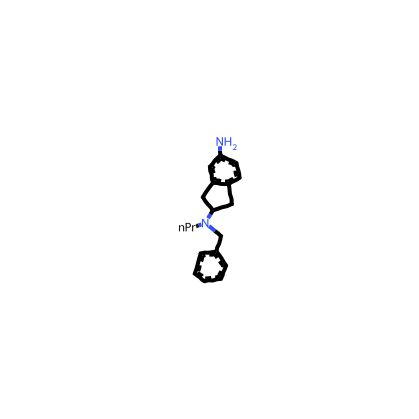 CCCN(Cc1ccccc1)C1Cc2ccc(N)cc2C1